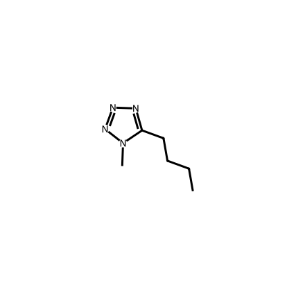 CCCCc1nnnn1C